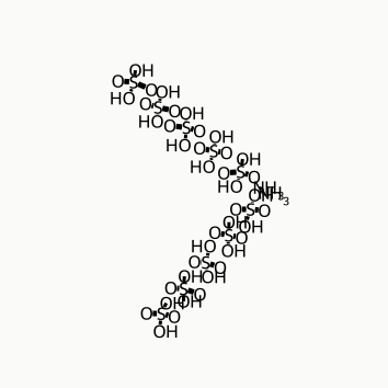 N.N.O=S(=O)(O)O.O=S(=O)(O)O.O=S(=O)(O)O.O=S(=O)(O)O.O=S(=O)(O)O.O=S(=O)(O)O.O=S(=O)(O)O.O=S(=O)(O)O.O=S(=O)(O)O.O=S(=O)(O)O